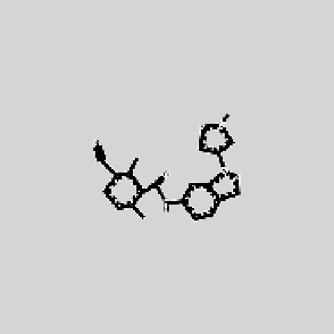 Cc1ccc(C#N)c(C)c1C(=O)Nc1ccc2cnn(-c3cnn(C)c3)c2c1